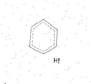 [Hf].c1ccccc1